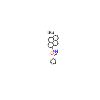 CC(C)(C)c1ccc2ccc3c(-c4ncc(-c5ccccc5)o4)ccc4ccc1c2c43